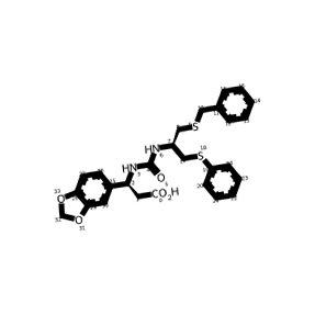 O=C(O)C[C@H](NC(=O)N[C@@H](CSCc1ccccc1)CSc1ccccc1)c1ccc2c(c1)OCO2